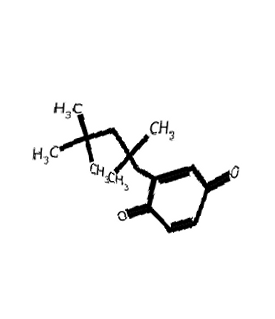 CC(C)(C)CC(C)(C)C1=CC(=O)C=CC1=O